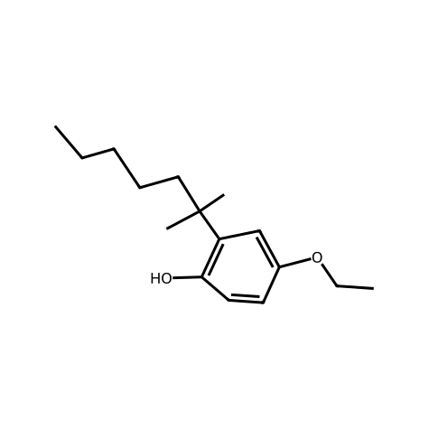 CCCCCC(C)(C)c1cc(OCC)ccc1O